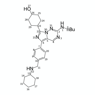 CCCCNc1ncc2c(-c3ccc(CNC4CCCCC4)cc3)nc(C3CCC(O)CC3)n2n1